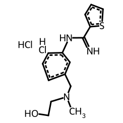 CN(CCO)Cc1cccc(NC(=N)c2cccs2)c1.Cl.Cl